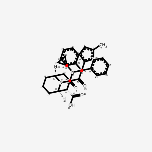 Cc1ccc(CN(C(=O)N2[C@H]3CCC[C@@H]2[C@@H](C(=O)O)N(C(=O)N(c2ccccc2)c2ccccc2)C3)C2CC2)s1